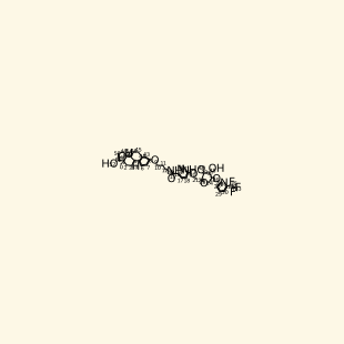 C[C@]12CC[C@@H]3c4ccc(OCCCNC(=O)c5ccc(OC[C@H]6OC[C@H](Oc7cccc(C(F)(F)F)n7)[C@@H](O)[C@H]6O)nn5)cc4CC[C@H]3[C@@H]1CC[C@@H]2O